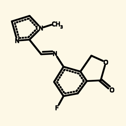 Cn1ccnc1C=Nc1cc(F)cc2c1COC2=O